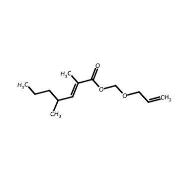 C=CCOCOC(=O)C(C)=CC(C)CCC